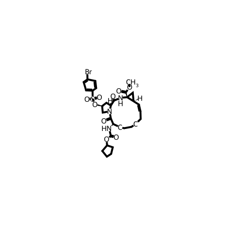 COC(=O)[C@@]12C[C@H]1/C=C\CCCCC[C@H](NC(=O)OC1CCCC1)C(=O)N1C[C@@H](OS(=O)(=O)c3ccc(Br)cc3)C[C@H]1C(=O)N2